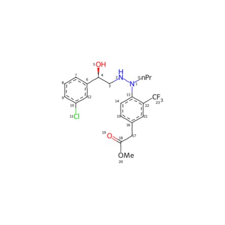 CCCN(NC[C@H](O)c1cccc(Cl)c1)c1ccc(CC(=O)OC)cc1C(F)(F)F